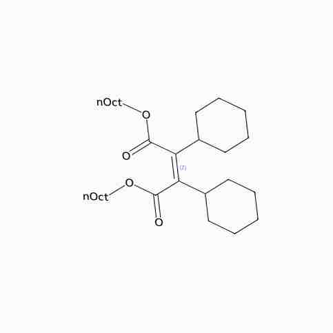 CCCCCCCCOC(=O)/C(=C(\C(=O)OCCCCCCCC)C1CCCCC1)C1CCCCC1